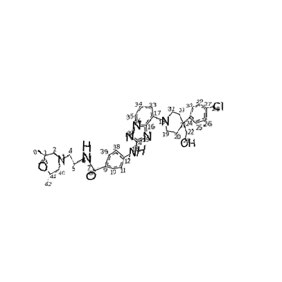 C[C@H]1CN(CCNC(=O)c2ccc(Nc3nc4c(N5CCC(CO)(c6ccc(Cl)cc6)CC5)cccn4n3)cc2)C[C@H](C)O1